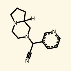 N#CC(c1cccnc1)N1CCN2CCC[C@@H]2C1